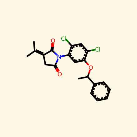 CC(C)=C1CC(=O)N(c2cc(OC(C)c3ccccc3)c(Cl)cc2Cl)C1=O